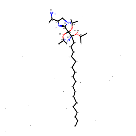 CCCCCCCCCCCCCCCCCCC(N)(OC(C)C)C(OC(C)C)(OC(C)C)C1=NC(C(C)N)CN1